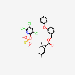 CC(C)=CC1C(C(=O)OCc2cccc(Oc3ccccc3)c2)C1(C)C.COP(=S)(OC)Oc1nc(Cl)c(Cl)cc1Cl